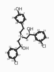 Oc1ccc(CCN(C[C@@H](O)c2cccc(Cl)c2)C[C@@H](O)c2cccc(Cl)c2)cc1